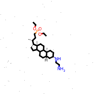 CCOP(=O)(CC[C@@H](C)[C@H]1CCC2C3CC[C@H]4C[C@@H](NCCN)CC[C@]4(C)C3CC[C@@]21C)OCC